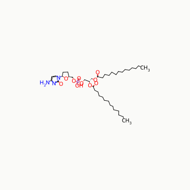 CCCCCCCCCCCCCC(=O)OC[C@@H](COP(=O)(O)OC[C@@H]1CC[C@H](n2ccc(N)nc2=O)O1)OC(=O)CCCCCCCCCCCCC